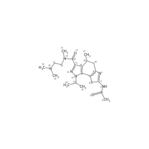 CC(=O)Nc1nc2c(s1)-c1c(c(C(=O)N(C)CCN(C)C)nn1C(C)C)C(C)C2